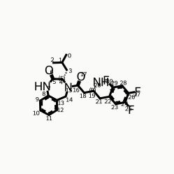 CC(C)C[C@H]1C(=O)Nc2ccccc2CN1C(=O)C[C@H](N)Cc1cc(F)c(F)cc1F